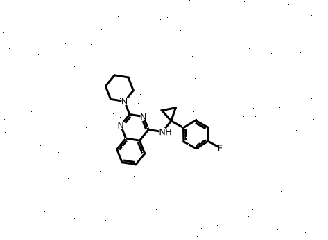 Fc1ccc(C2(Nc3nc(N4CCCCC4)nc4ccccc34)CC2)cc1